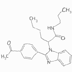 CCCCC(C(=O)NCCC)n1c(-c2ccc(C(C)=O)cc2)nc2ccccc21